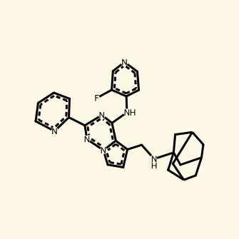 Fc1cnccc1Nc1nc(-c2ccccn2)nn2ccc(CNC34CC5CC(CC(C5)C3)C4)c12